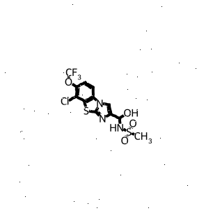 CS(=O)(=O)NC(O)c1cn2c(n1)sc1c(Cl)c(OC(F)(F)F)ccc12